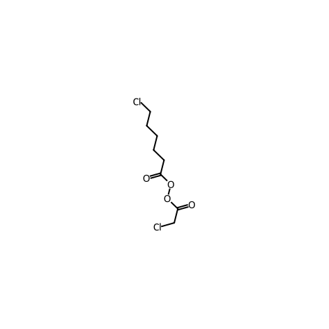 O=C(CCl)OOC(=O)CCCCCCl